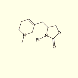 CCN1C(=O)OCC1CC1=CCCN(C)C1